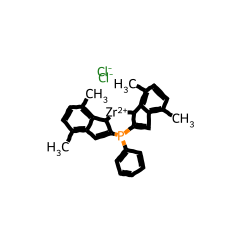 Cc1ccc(C)c2c1C=C1[CH]2[Zr+2][CH]2C(=Cc3c(C)ccc(C)c32)P1c1ccccc1.[Cl-].[Cl-]